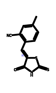 Cc1ccc(/C=C2\SC(=S)NC2=O)c(C#N)c1